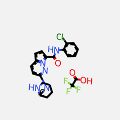 O=C(Nc1ccccc1Cl)c1ccc2ccc(N3CC4CCC3CN4)nn12.O=C(O)C(F)(F)F